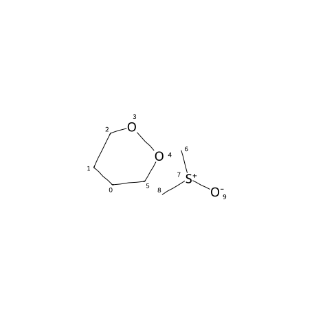 C1CCOOC1.C[S+](C)[O-]